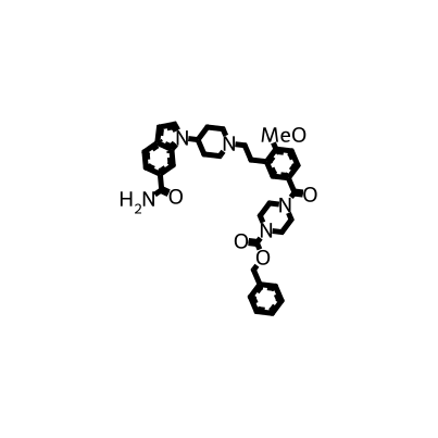 COc1ccc(C(=O)N2CCN(C(=O)OCc3ccccc3)CC2)cc1CCN1CCC(n2ccc3ccc(C(N)=O)cc32)CC1